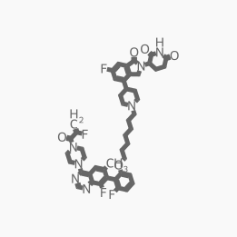 C=C(F)C(=O)N1CCN(c2ncnc3c(F)c(-c4c(F)cccc4OCCCCCCCN4CCC(c5cc(F)cc6c5CN(C5CCC(=O)NC5=O)C6=O)CC4)c(C)cc23)CC1